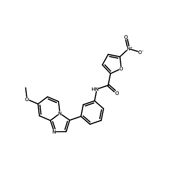 COc1ccn2c(-c3cccc(NC(=O)c4ccc([N+](=O)[O-])o4)c3)cnc2c1